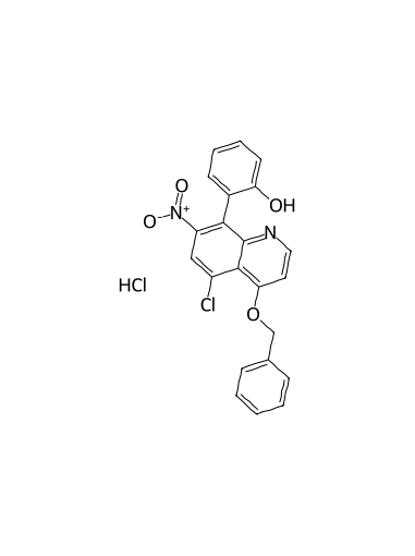 Cl.O=[N+]([O-])c1cc(Cl)c2c(OCc3ccccc3)ccnc2c1-c1ccccc1O